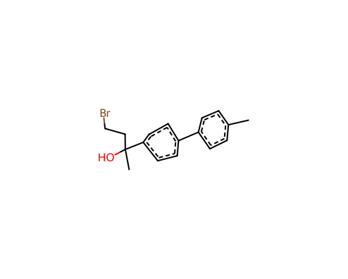 Cc1ccc(-c2ccc(C(C)(O)CCBr)cc2)cc1